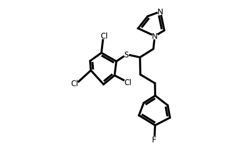 Fc1ccc(CCC(Cn2ccnc2)Sc2c(Cl)cc(Cl)cc2Cl)cc1